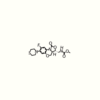 COC(=O)NC[C@H]1OC(=O)N2c3cc(F)c(N4CCSCC4)cc3OC[C@H]12